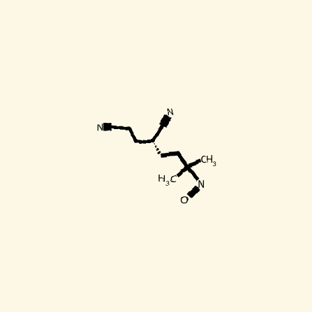 CC(C)(CC[C@@H](C#N)CCC#N)N=O